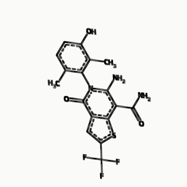 Cc1ccc(O)c(C)c1-n1c(N)c(C(N)=O)c2sc(C(F)(F)F)cc2c1=O